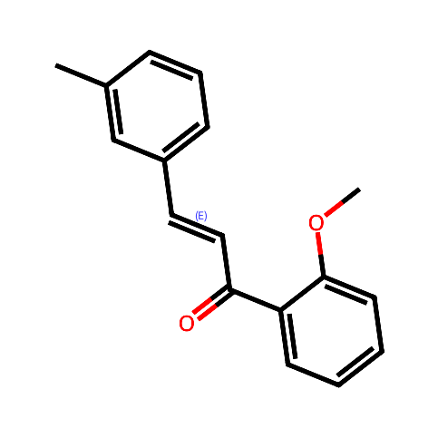 COc1ccccc1C(=O)/C=C/c1cccc(C)c1